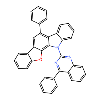 c1ccc(-c2nc(-n3c4ccccc4c4c(-c5ccccc5)cc5c6ccccc6oc5c43)nc3ccccc23)cc1